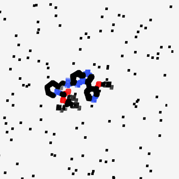 COc1cnccc1-c1cnc2ccc(NC[C@@H]3CCCCN3C(=O)OC(C)(C)C)nn12